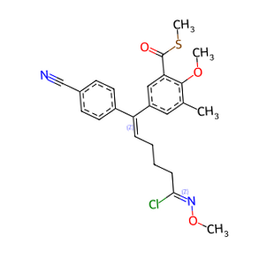 CO/N=C(\Cl)CCC/C=C(/c1ccc(C#N)cc1)c1cc(C)c(OC)c(C(=O)SC)c1